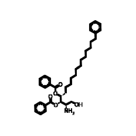 N[C@@H](CO)[C@H](OC(=O)c1ccccc1)[C@@H](CCCCCCCCCCCCCc1ccccc1)OC(=O)c1ccccc1